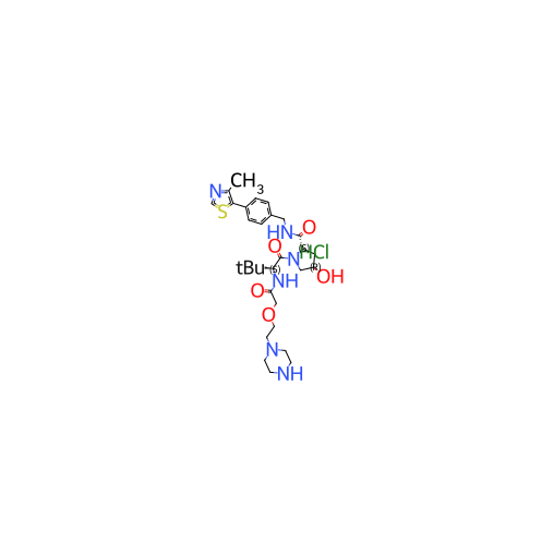 Cc1ncsc1-c1ccc(CNC(=O)[C@@H]2C[C@@H](O)CN2C(=O)[C@@H](NC(=O)COCCN2CCNCC2)C(C)(C)C)cc1.Cl